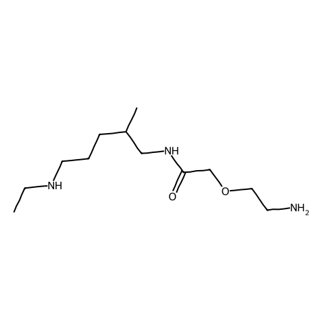 CCNCCCC(C)CNC(=O)COCCN